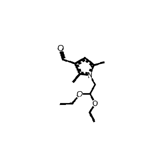 CCOC(Cn1c(C)cc(C=O)c1C)OCC